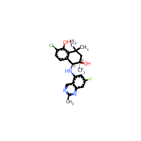 Cc1ncc2c(N[C@H]3c4ccc(Cl)c(O)c4C(C)(C)C[C@]3(O)C(F)(F)F)cc(F)cc2n1